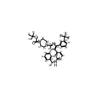 C[C@H](Nc1nccc(-c2sc(N3CCN(C(=O)OC(C)(C)C)CC3)nc2-c2cccc(C(F)(F)F)c2)n1)c1ccccc1